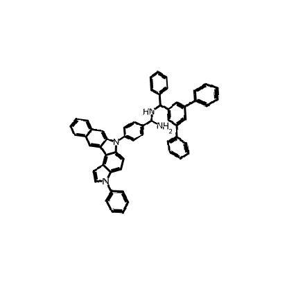 NC(NC(c1ccccc1)c1cc(-c2ccccc2)cc(-c2ccccc2)c1)c1ccc(-n2c3cc4ccccc4cc3c3c4ccn(-c5ccccc5)c4ccc32)cc1